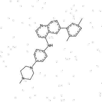 Cc1ccc(C)c(-c2ccc3nccc(Nc4ccc(N5CCN(C)CC5)cc4)c3c2)c1